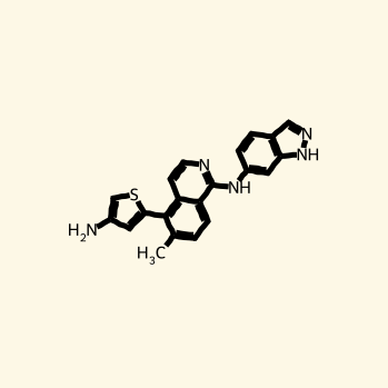 Cc1ccc2c(Nc3ccc4cn[nH]c4c3)nccc2c1-c1cc(N)cs1